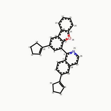 C1=C(c2ccc3c(-c4cc(C5=CCCC5)cc5c4oc4ccccc45)nccc3c2)CCC1